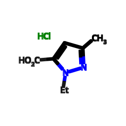 CCn1nc(C)cc1C(=O)O.Cl